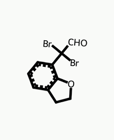 O=CC(Br)(Br)c1cccc2c1OCC2